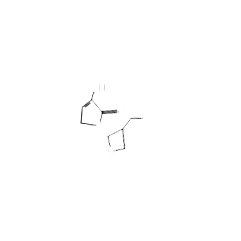 CC1=CCOC1=O.CCC1COC1